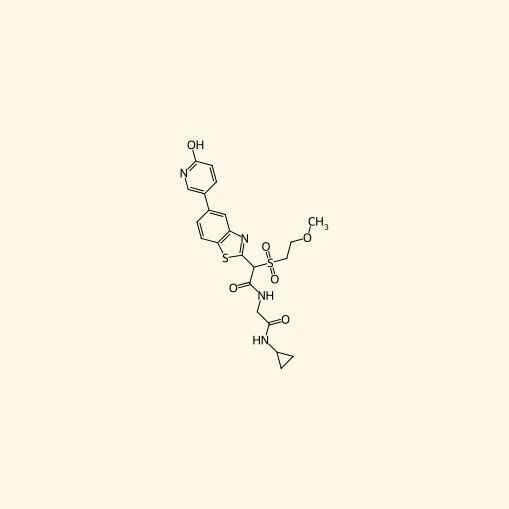 COCCS(=O)(=O)C(C(=O)NCC(=O)NC1CC1)c1nc2cc(-c3ccc(O)nc3)ccc2s1